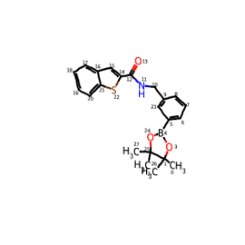 CC1(C)OB(c2cccc(CNC(=O)c3cc4ccccc4s3)c2)OC1(C)C